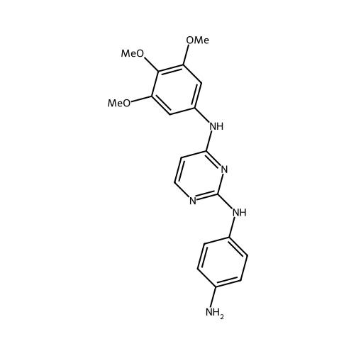 COc1cc(Nc2ccnc(Nc3ccc(N)cc3)n2)cc(OC)c1OC